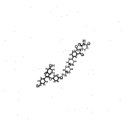 O=C1CCC(N2C(=O)c3ccc(C4CCN(C5CCN(CCOc6ccc(Oc7c(-c8ccc(Br)cc8)sc8cc(O)ccc78)cc6)CC5)CC4)cc3C2=O)C(=O)N1